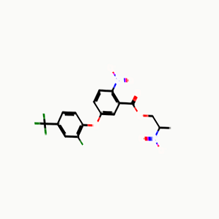 CC(COC(=O)c1cc(Oc2ccc(C(F)(F)F)cc2Cl)ccc1[N+](=O)[O-])[N+](=O)[O-]